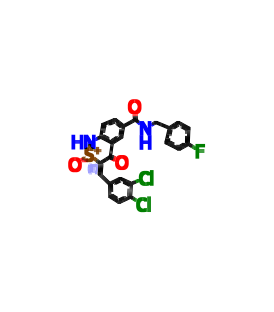 O=C(NCc1ccc(F)cc1)c1ccc2c(c1)C(=O)/C(=C\c1ccc(Cl)c(Cl)c1)[S+]([O-])N2